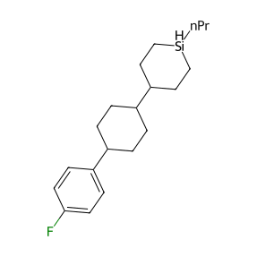 CCC[SiH]1CCC(C2CCC(c3ccc(F)cc3)CC2)CC1